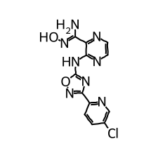 NC(=NO)c1nccnc1Nc1nc(-c2ccc(Cl)cn2)no1